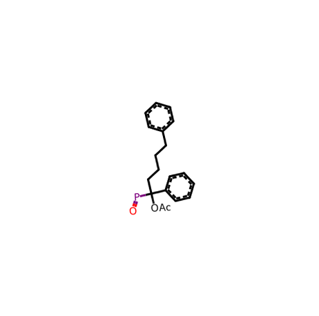 CC(=O)OC(CCCCc1ccccc1)(P=O)c1ccccc1